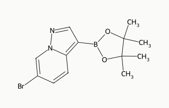 CC1(C)OB(c2cnn3cc(Br)ccc23)OC1(C)C